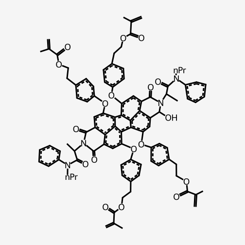 C=C(C)C(=O)OCCc1ccc(Oc2cc3c4c(cc(Oc5ccc(CCOC(=O)C(=C)C)cc5)c5c6c(Oc7ccc(CCOC(=O)C(=C)C)cc7)cc7c8c(cc(Oc9ccc(CCOC(=O)C(=C)C)cc9)c(c2c45)c86)C(=O)N(C(C)C(=O)N(CCC)c2ccccc2)C7O)C(=O)N(C(C)C(=O)N(CCC)c2ccccc2)C3=O)cc1